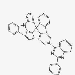 c1ccc(-c2nc(-c3ccc4c(c3)-c3ccccc3C43c4ccccc4-n4c5ccccc5c5cccc3c54)c3ccccc3n2)cc1